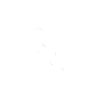 O=C1CSc2ccc(N3C[C@H](CCN[C@H]4Cn5c(=O)ccc6ccc(F)c4c65)OC3=O)cc2N1